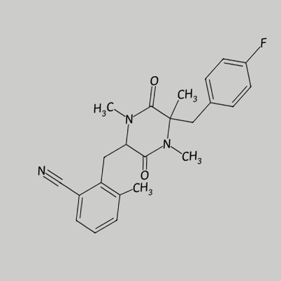 Cc1cccc(C#N)c1CC1C(=O)N(C)C(C)(Cc2ccc(F)cc2)C(=O)N1C